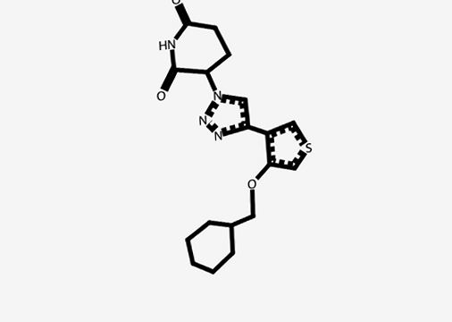 O=C1CCC(n2cc(-c3cscc3OCC3CCCCC3)nn2)C(=O)N1